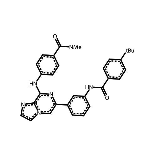 CNC(=O)c1ccc(Nc2nc(-c3cccc(NC(=O)c4ccc(C(C)(C)C)cc4)c3)cn3ccnc23)cc1